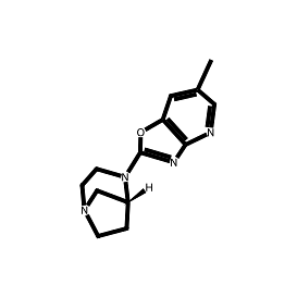 Cc1cnc2nc(N3CCN4CC[C@@H]3C4)oc2c1